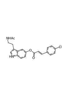 CC(=O)NCCc1c[nH]c2ccc(OC(=O)/C=C/c3ccc(Cl)cc3)cc12